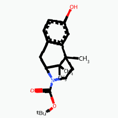 CC(C)(C)OC(=O)N1CCC2(C)c3cc(O)ccc3CC1C2(C)C